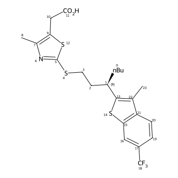 CCCC[C@H](CCSc1nc(C)c(CC(=O)O)s1)c1sc2cc(C(F)(F)F)ccc2c1C